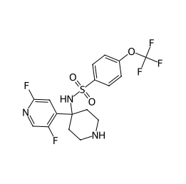 O=S(=O)(NC1(c2cc(F)ncc2F)CCNCC1)c1ccc(OC(F)(F)F)cc1